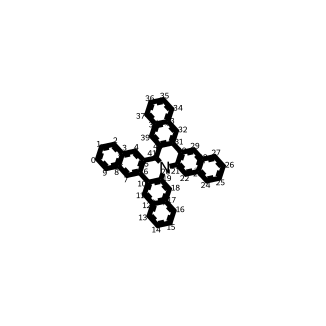 c1ccc2cc3c(cc2c1)-c1cc2ccccc2cc1N1c2cc4ccccc4cc2-c2cc4ccccc4cc2C31